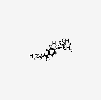 C=C[Si](C)(C)COc1ccc(C(=O)OCC)cc1